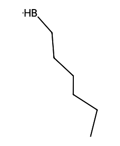 [BH]CCCCCC